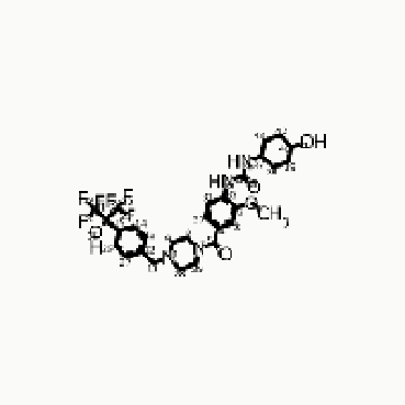 COc1cc(C(=O)N2CCN(Cc3ccc(C(O)(C(F)(F)F)C(F)(F)F)cc3)CC2)ccc1NC(=O)NC1CCC(O)CC1